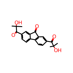 CC(C)(O)C(=O)c1ccc2c(c1)C(=O)c1cc(C(=O)C(C)(C)O)ccc1-2